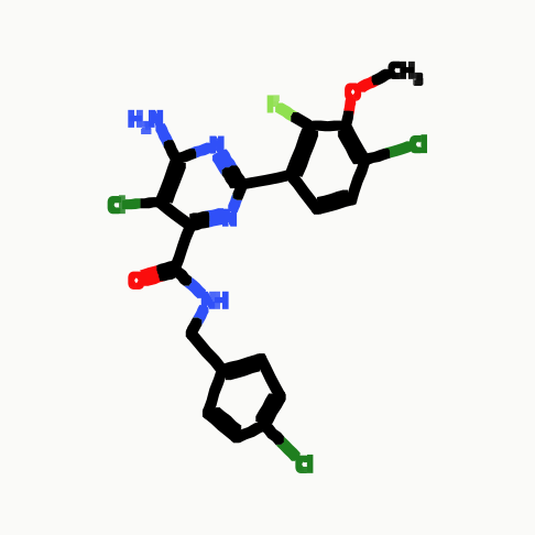 COc1c(Cl)ccc(-c2nc(N)c(Cl)c(C(=O)NCc3ccc(Cl)cc3)n2)c1F